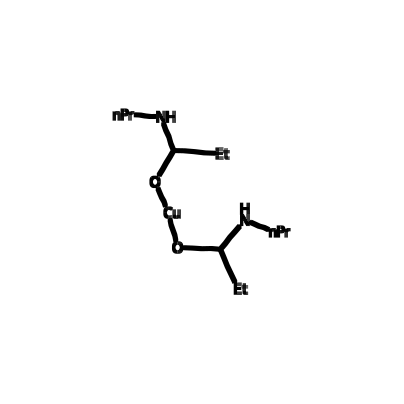 CCCNC(CC)[O][Cu][O]C(CC)NCCC